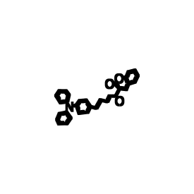 O=C(C=CC=Cc1ccc(N(c2ccccc2)c2ccccc2)cc1)c1cc2ccccc2oc1=O